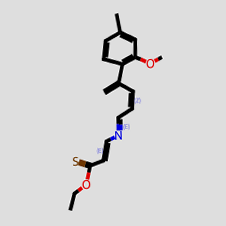 C=C(\C=C/C=N/C=C/C(=S)OCC)c1ccc(C)cc1OC